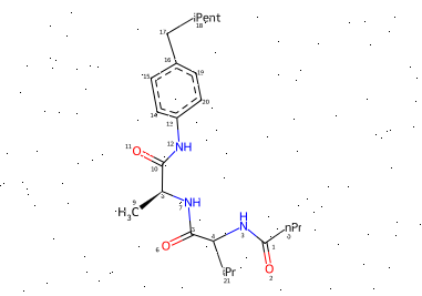 CCCC(=O)NC(C(=O)N[C@@H](C)C(=O)Nc1ccc(CC(C)CCC)cc1)C(C)C